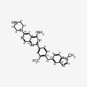 Cc1cc(-c2nc(N)c3cc(N4CCNCC4)ncc3n2)ccc1Cc1ccc2c(c1)ncn2C